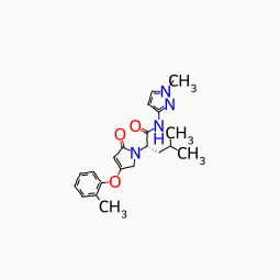 Cc1ccccc1OC1=CC(=O)N([C@@H](CC(C)C)C(=O)Nc2ccn(C)n2)C1